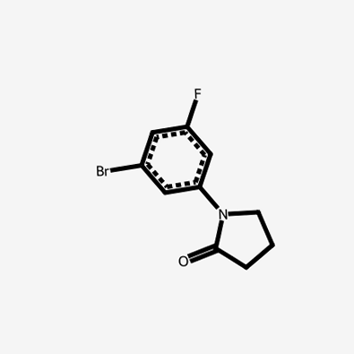 O=C1CCCN1c1cc(F)cc(Br)c1